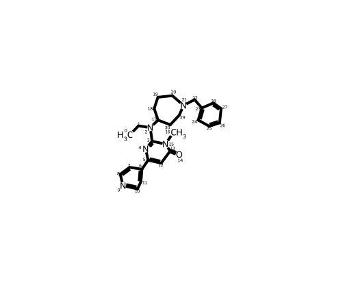 CCN(c1nc(-c2ccncc2)cc(=O)n1C)C1CCCN(Cc2ccccc2)CC1